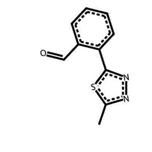 Cc1nnc(-c2ccccc2C=O)s1